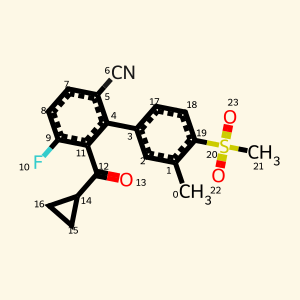 Cc1cc(-c2c(C#N)ccc(F)c2C(=O)C2CC2)ccc1S(C)(=O)=O